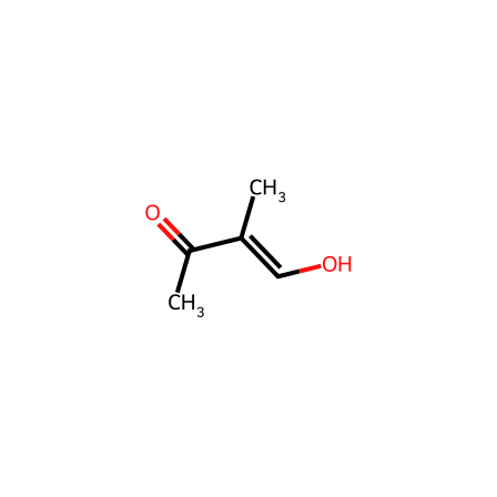 CC(=O)C(C)=CO